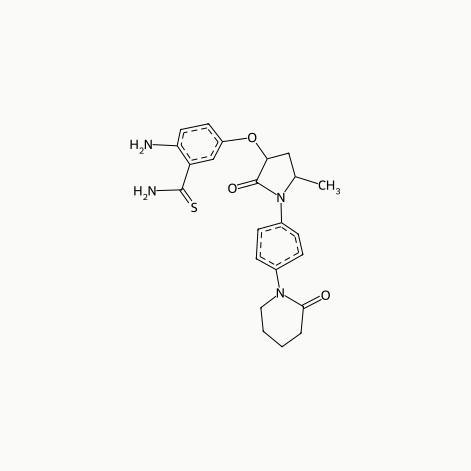 CC1CC(Oc2ccc(N)c(C(N)=S)c2)C(=O)N1c1ccc(N2CCCCC2=O)cc1